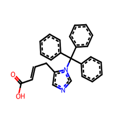 O=C(O)/C=C/Cc1cncn1C(c1ccccc1)(c1ccccc1)c1ccccc1